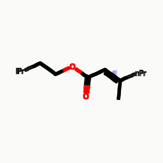 CCC/C(C)=C/C(=O)OCCC(C)C